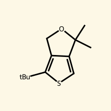 CC(C)(C)c1scc2c1COC2(C)C